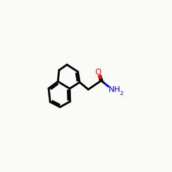 NC(=O)CC1=CCCc2ccccc21